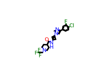 O=C(NC12CC(n3cnc(-c4ccc(Cl)c(F)c4)c3)(C1)C2)C1CCN(CC(F)(F)F)CC1